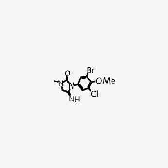 COc1c(Cl)cc(N2C(=N)CN(C)C2=O)cc1Br